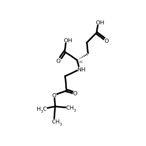 CC(C)(C)OC(=O)CN[C@@H](CCC(=O)O)C(=O)O